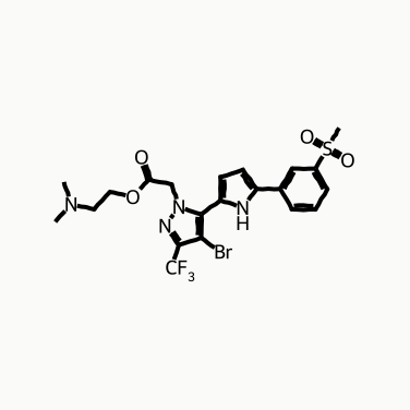 CN(C)CCOC(=O)Cn1nc(C(F)(F)F)c(Br)c1-c1ccc(-c2cccc(S(C)(=O)=O)c2)[nH]1